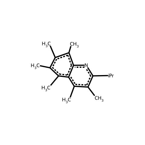 Cc1c(C)c(C)c2c(C)c(C)c(C(C)C)nc2c1C